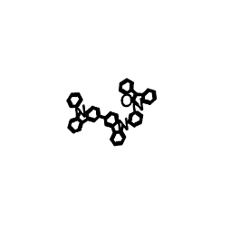 c1ccc(-n2c3ccccc3c3cc(-c4ccc5c(c4)c4ccccc4n5-c4cccc(-n5c6ccccc6c6c7ccccc7oc65)c4)ccc32)cc1